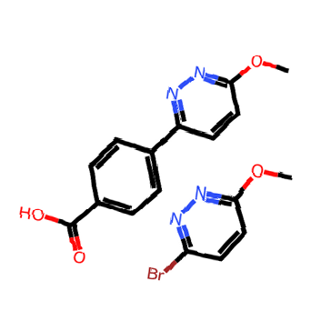 COc1ccc(-c2ccc(C(=O)O)cc2)nn1.COc1ccc(Br)nn1